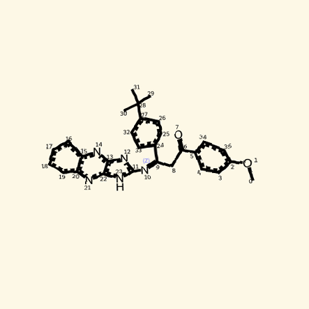 COc1ccc(C(=O)C/C(=N/c2nc3nc4ccccc4nc3[nH]2)c2ccc(C(C)(C)C)cc2)cc1